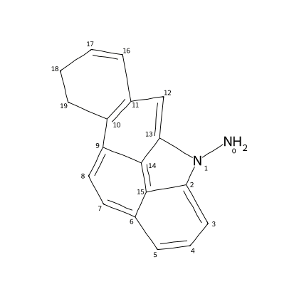 Nn1c2cccc3ccc4c5c(cc1c4c32)C=CCC5